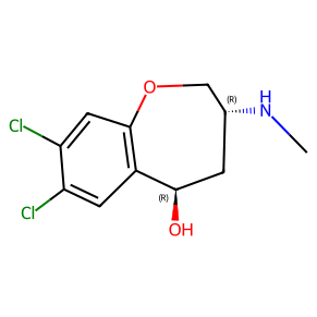 CN[C@H]1COc2cc(Cl)c(Cl)cc2[C@H](O)C1